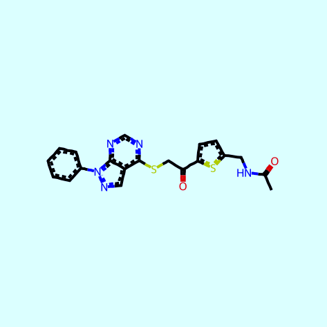 CC(=O)NCc1ccc(C(=O)CSc2ncnc3c2cnn3-c2ccccc2)s1